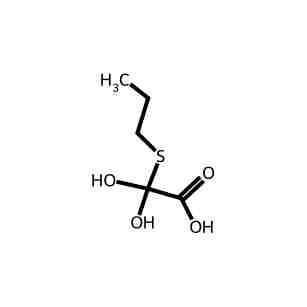 CCCSC(O)(O)C(=O)O